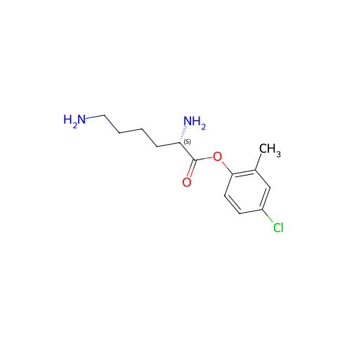 Cc1cc(Cl)ccc1OC(=O)[C@@H](N)CCCCN